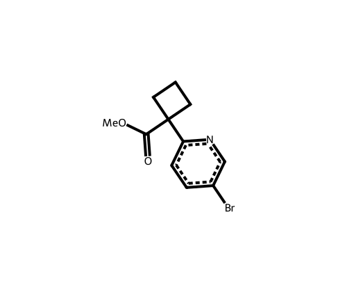 COC(=O)C1(c2ccc(Br)cn2)CCC1